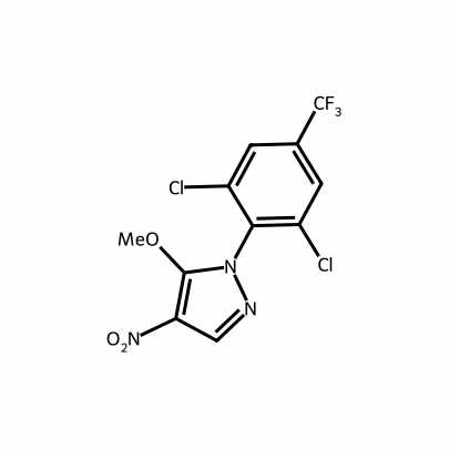 COc1c([N+](=O)[O-])cnn1-c1c(Cl)cc(C(F)(F)F)cc1Cl